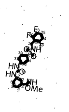 COC(=N)c1cccc(NC(=O)Nc2ccc(S(=O)(=O)NCc3c(F)ccc(F)c3F)cc2)c1